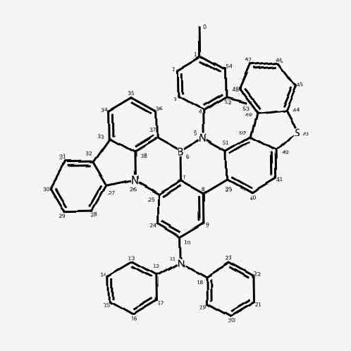 Cc1ccc(N2B3c4c(cc(N(c5ccccc5)c5ccccc5)cc4-n4c5ccccc5c5cccc3c54)-c3ccc4sc5ccccc5c4c32)c(C)c1